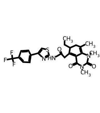 CCC1CC(C)=c2c(c(=O)n(C)c(=O)n2C)=C1CC(=O)Nc1nc(-c2ccc(C(F)(F)F)cc2)cs1